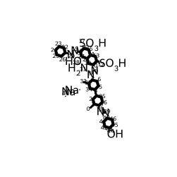 Cc1cc(-c2ccc(N=Nc3c(S(=O)(=O)O)cc4cc(S(=O)(=O)O)c(N=Nc5ccccc5)c(O)c4c3N)c(C)c2)ccc1N=Nc1ccc(O)cc1.[Na].[Na]